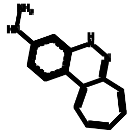 NNc1ccc2c(c1)NN=C1C=CC=CC=C12